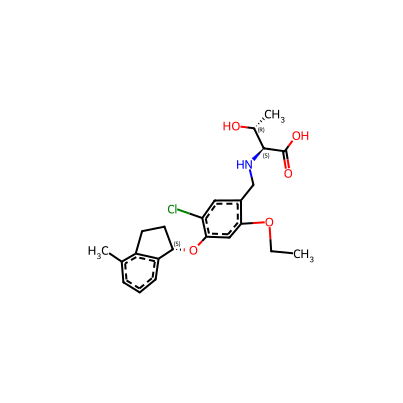 CCOc1cc(O[C@H]2CCc3c(C)cccc32)c(Cl)cc1CN[C@H](C(=O)O)[C@@H](C)O